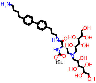 CC(C)(C)OC(=O)N[C@@H](CCN(C[C@H](O)[C@@H](O)[C@H](O)[C@H](O)CO)C[C@H](O)[C@@H](O)[C@H](O)[C@H](O)CO)C(=O)NCCCc1ccc(-c2ccc(CCCCN)cc2)cc1